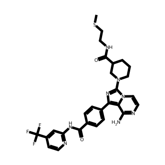 CSCCNC(=O)C1CCCN(c2nc(-c3ccc(C(=O)Nc4cc(C(F)(F)F)ccn4)cc3)c3c(N)nccn23)C1